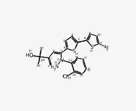 C=C(/C=C(/c1ccc(-c2ccc(C(C)=O)s2)s1)N(N)c1ccccc1Cl)C(C)(C)O